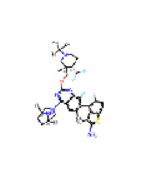 [2H]C([2H])([2H])N1CC[C@H](C(F)F)[C@](C)(COc2nc(N3C[C@H]4CC[C@@H](C3)N4)c3cc(C(F)(F)F)c(-c4c(F)ccc5sc(N)c(C#N)c45)c(F)c3n2)C1